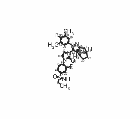 CCS(=N)(=O)c1ccc(-n2ccn(-c3c4c(nn3-c3cc(C)c(F)c(C)c3)C[C@H]3CC[C@@H]4N3)c2=O)c(F)c1